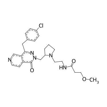 COCCC(=O)NCCN1CCCC1Cn1nc(Cc2ccc(Cl)cc2)c2cnccc2c1=O